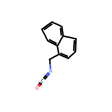 O=C=NCc1cccc2ccccc12